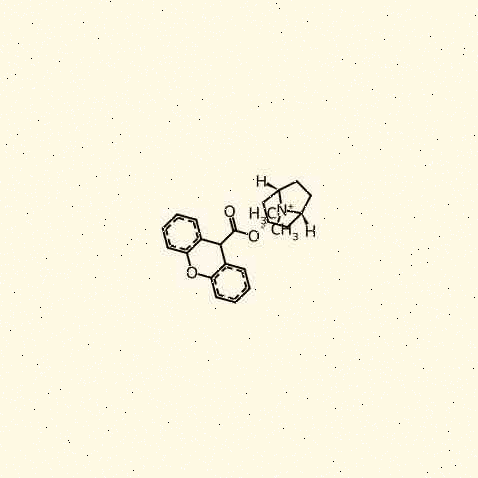 C[N+]1(C)[C@@H]2CC[C@H]1C[C@@H](OC(=O)C1c3ccccc3Oc3ccccc31)C2